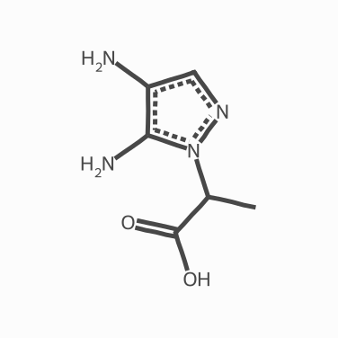 CC(C(=O)O)n1ncc(N)c1N